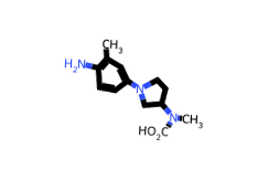 Cc1cc(N2CCC(N(C)C(=O)O)C2)ccc1N